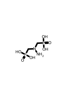 NN(CP(=O)(O)O)CP(=O)(O)O